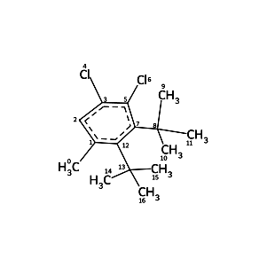 Cc1cc(Cl)c(Cl)c(C(C)(C)C)c1C(C)(C)C